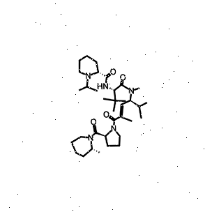 C/C(=C\[C@H](C(C)C)N(C)C(=O)[C@@H](NC(=O)[C@H]1CCCCN1C(C)C)C(C)(C)C)C(=O)N1CCC[C@H]1C(=O)N1CCCC[C@H]1C